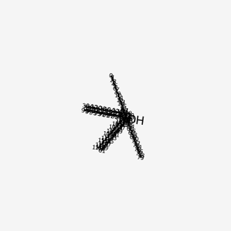 CCCCCCCCCCCCCCCCCCN(CCCCCCCCCCCCCCCCCC)c1ccc(O)c(N(CCCCCCCCCCCCCCCCCC)CCCCCCCCCCCCCCCCCC)c1N(CCCCCCCCCCCCCCCCCC)CCCCCCCCCCCCCCCCCC